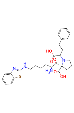 N[C@@H](CCCCNc1nc2ccccc2s1)C(=O)[C@@]1(C(=O)O)CCCN1C(CCc1ccccc1)C(=O)O